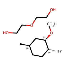 CC(C)[C@@H]1CC[C@@H](C)C[C@H]1OC(=O)O.OCCOCCO